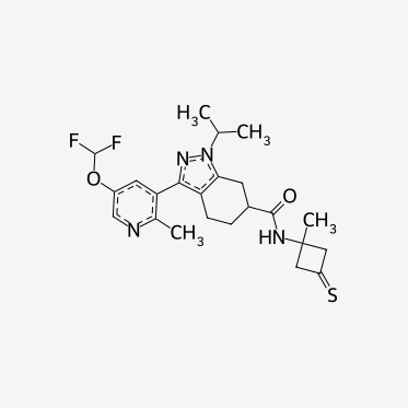 Cc1ncc(OC(F)F)cc1-c1nn(C(C)C)c2c1CCC(C(=O)NC1(C)CC(=S)C1)C2